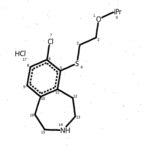 CC(C)OCCSc1c(Cl)ccc2c1CCNCC2.Cl